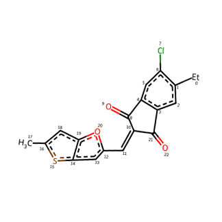 CCc1cc2c(cc1Cl)C(=O)/C(=C\c1cc3sc(C)cc3o1)C2=O